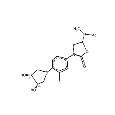 CC(=O)N(C)C1CN(c2ccc(N3C[C@@H](O)[C@@H](O)C3)c(F)c2)C(=O)O1